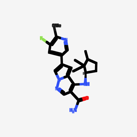 COc1ncc(-c2cc3c(N[C@@H]4CCC(C)C4(C)C)c(C(N)=O)cnn3c2)cc1F